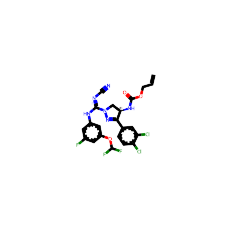 C=CCOC(=O)N[C@@H]1CN(/C(=N\C#N)Nc2cc(F)cc(OC(F)F)c2)N=C1c1ccc(Cl)c(Cl)c1